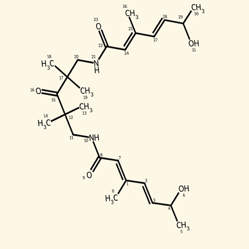 CC(/C=C/C(C)O)=C\C(=O)NCC(C)(C)C(=O)C(C)(C)CNC(=O)/C=C(C)/C=C/C(C)O